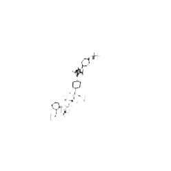 CCc1ccccc1N1/C(=N/C(=O)NC(C#N)c2ccc(-c3ncn(-c4ccc(OC(F)(F)F)cc4)n3)cc2)SCC1O